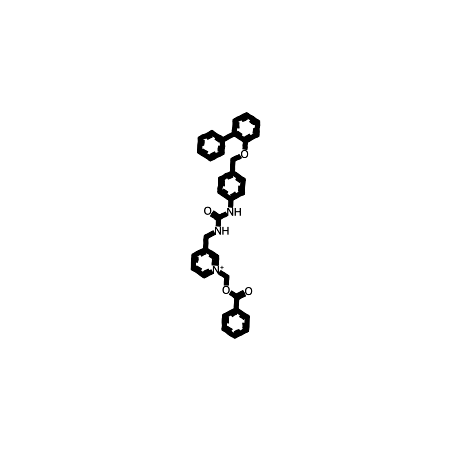 O=C(NCc1ccc[n+](COC(=O)c2ccccc2)c1)Nc1ccc(COc2ccccc2-c2ccccc2)cc1